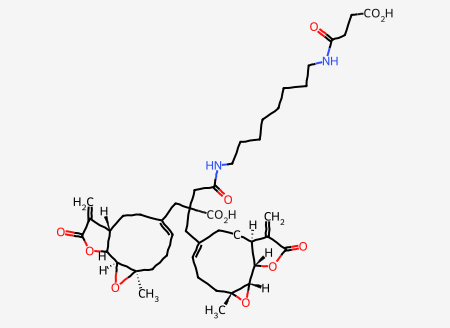 C=C1C(=O)O[C@H]2[C@H]1CC/C(CC(CC(=O)NCCCCCCCCNC(=O)CCC(=O)O)(C/C1=C/CC[C@@]3(C)O[C@H]3[C@H]3OC(=O)C(=C)[C@@H]3CC1)C(=O)O)=C\CC[C@@]1(C)O[C@@H]21